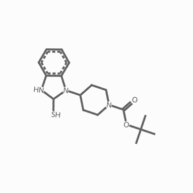 CC(C)(C)OC(=O)N1CCC(N2c3ccccc3NC2S)CC1